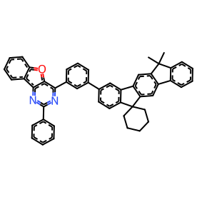 CC1(C)c2ccccc2-c2cc3c(cc21)-c1cc(-c2cccc(-c4nc(-c5ccccc5)nc5c4oc4ccccc45)c2)ccc1C31CCCCC1